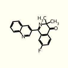 CC1(C)N=C(c2cnc3ccccc3c2)c2cc(F)ccc2C1=O